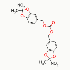 CC1([N+](=O)[O-])Oc2ccc(COC(=O)OCc3ccc4c(c3)OC(C)([N+](=O)[O-])O4)cc2O1